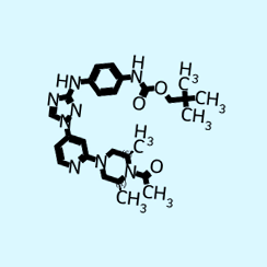 CC(=O)N1[C@H](C)CN(c2cc(-n3cnc(Nc4ccc(NC(=O)OCC(C)(C)C)cc4)n3)ccn2)C[C@@H]1C